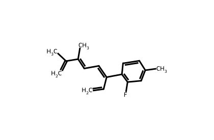 C=C/C(=C\C=C(/C)C(=C)C)c1ccc(C)cc1F